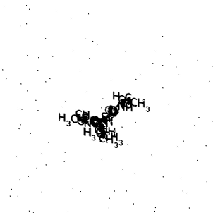 CC(C)OC(=O)NC[C@@H]1CC[C@@H](c2ncc(-c3ccc(NC(=O)OC(C)C)cc3S(=O)(=O)NC(C)(C)C)s2)OC1